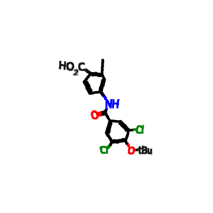 Cc1cc(NC(=O)c2cc(Cl)c(OC(C)(C)C)c(Cl)c2)ccc1C(=O)O